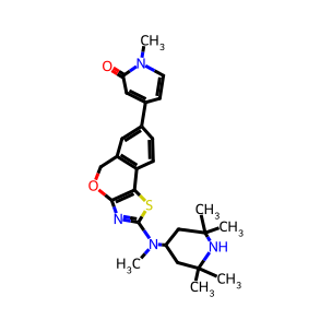 CN(c1nc2c(s1)-c1ccc(-c3ccn(C)c(=O)c3)cc1CO2)C1CC(C)(C)NC(C)(C)C1